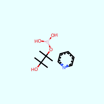 CC(C)(O)C(C)(C)OB(O)O.c1ccncc1